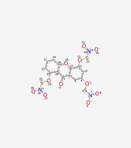 O=c1c2cc(OS[N+](=O)[O-])cc(OS[N+](=O)[O-])c2oc2cccc(OS[N+](=O)[O-])c12